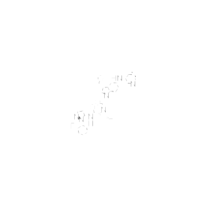 CC(=O)c1cn(CC(=O)N2C[C@H](F)C[C@H]2C(=O)Nc2cc(C)nn2-c2ccccc2F)c2ccc(Nc3cncnc3)cc12